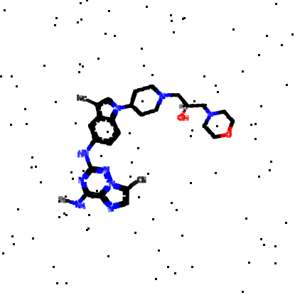 CCNc1nc(Nc2ccc3c(c2)c(C#N)cn3C2CCN(C[C@@H](O)CN3CCOCC3)CC2)nn2c(C#N)cnc12